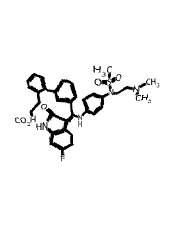 CN(C)CCN(c1ccc(NC(=C2C(=O)Nc3cc(F)ccc32)c2cccc(-c3ccccc3CCC(=O)O)c2)cc1)S(C)(=O)=O